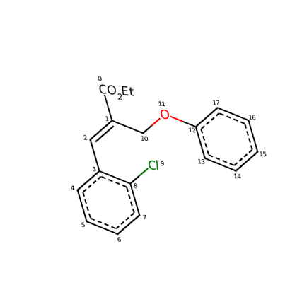 CCOC(=O)/C(=C/c1ccccc1Cl)COc1ccccc1